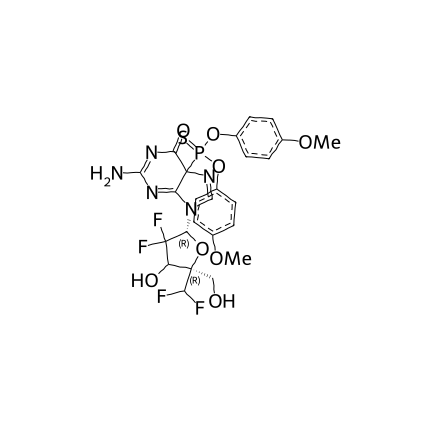 COc1ccc(OP(=S)(Oc2ccc(OC)cc2)C23N=CN([C@@H]4O[C@@](CO)(C(F)F)C(O)C4(F)F)C2=NC(N)=NC3=O)cc1